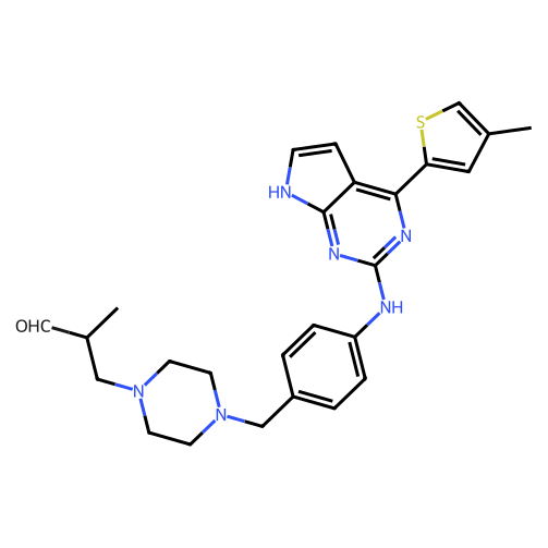 Cc1csc(-c2nc(Nc3ccc(CN4CCN(CC(C)C=O)CC4)cc3)nc3[nH]ccc23)c1